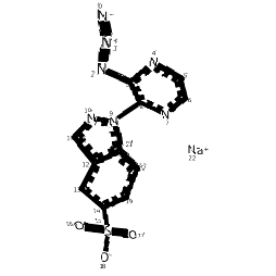 [N-]=[N+]=Nc1nccnc1-n1ncc2cc(S(=O)(=O)[O-])ccc21.[Na+]